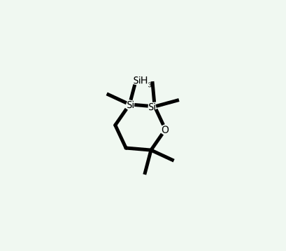 CC1(C)CC[Si](C)([SiH3])[Si](C)(C)O1